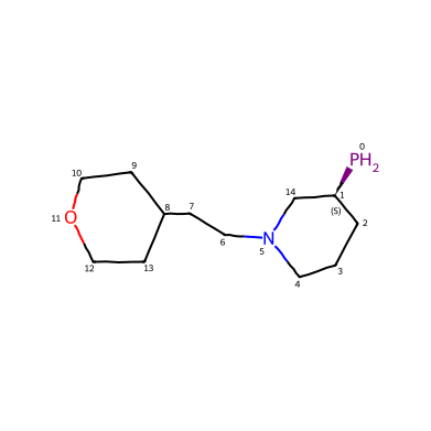 P[C@H]1CCCN(CCC2CCOCC2)C1